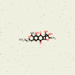 CC1OC2C3=C(C(=O)c4c(cc5c(c4O)[C@H](C)O[C@@H](CC(=O)O)C5)C3=O)C23C(O)C13O